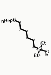 CCCCCCCCCCCC[CH][Si](CC)(CC)CC